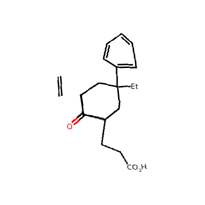 C=C.CCC1(c2ccccc2)CCC(=O)C(CCC(=O)O)C1